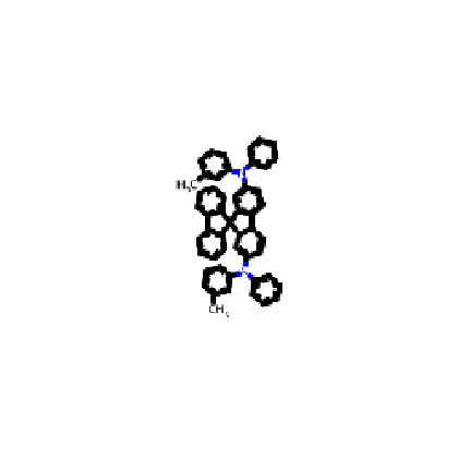 Cc1cccc(N(C2=CC3C(C=C2)c2ccc(N(c4ccccc4)c4cccc(C)c4)cc2C32c3ccccc3-c3ccccc32)c2ccccc2)c1